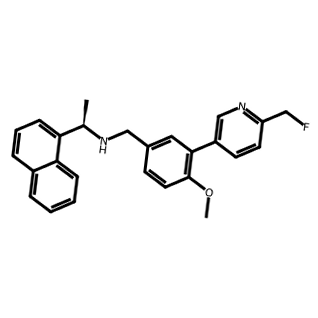 COc1ccc(CN[C@H](C)c2cccc3ccccc23)cc1-c1ccc(CF)nc1